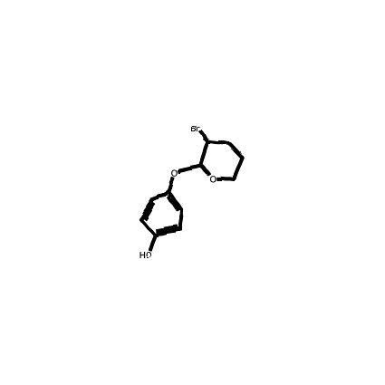 Oc1ccc(OC2OCCCC2Br)cc1